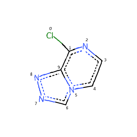 Clc1nccn2cnnc12